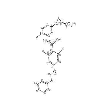 Cc1ccc([C@H]2C[C@H]2C(=O)O)cc1NC(=O)c1c(C)cc(OCCc2ccccc2)cc1C